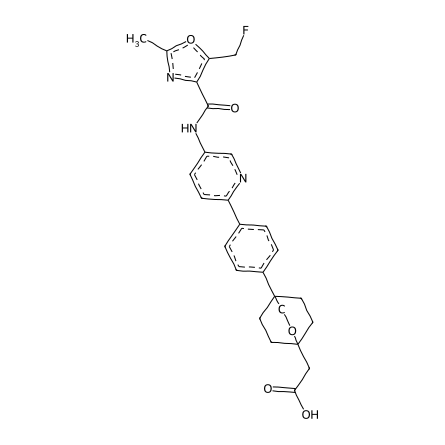 Cc1nc(C(=O)Nc2ccc(-c3ccc(C45CCC(CC(=O)O)(CC4)OC5)cc3)nc2)c(CF)o1